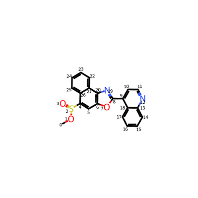 COS(=O)c1cc2oc(-c3ccnc4ccccc34)nc2c2ccccc12